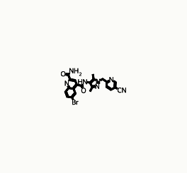 Cc1nn(Cc2ccc(C#N)cn2)c(C)c1NC(=O)c1cc(C(N)=O)nc2ccc(Br)cc12